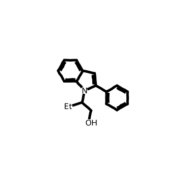 CCC(CO)n1c(-c2ccccc2)cc2ccccc21